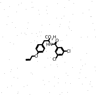 C=CCOc1ccc(CC(NC(=O)c2cc(Cl)cc(Cl)c2)C(=O)O)cc1